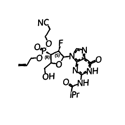 C=CCOP(=O)(OCCC#N)[C@@H]1C(CO)OC(n2cnc3c(=O)[nH]c(NC(=O)C(C)C)nc32)[C@@H]1F